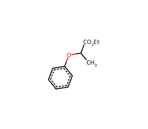 CCOC(=O)C(C)Oc1cc[c]cc1